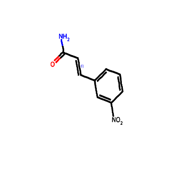 NC(=O)/C=C/c1cccc([N+](=O)[O-])c1